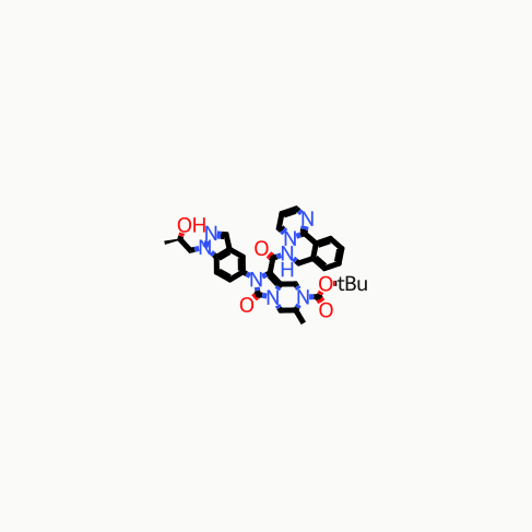 CC1Cn2c(c(C(=O)NCc3ccccc3-c3ncccn3)n(-c3ccc4c(cnn4C[C@@H](C)O)c3)c2=O)CN1C(=O)OC(C)(C)C